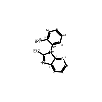 CCc1nc2cccnc2n1-c1ccccc1C(C)C